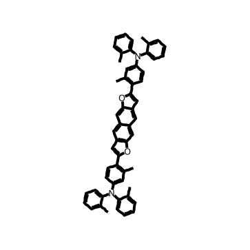 Cc1cc(N(c2ccccc2C)c2ccccc2C)ccc1-c1cc2cc3cc4oc(-c5ccc(N(c6ccccc6C)c6ccccc6C)cc5C)cc4cc3cc2o1